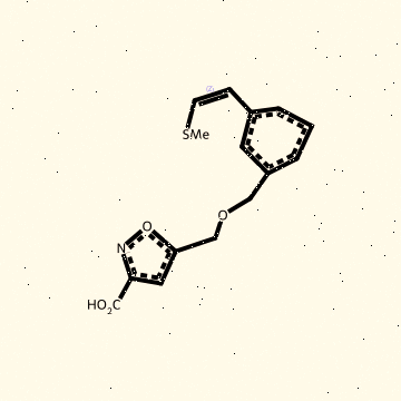 CS/C=C\c1cccc(COCc2cc(C(=O)O)no2)c1